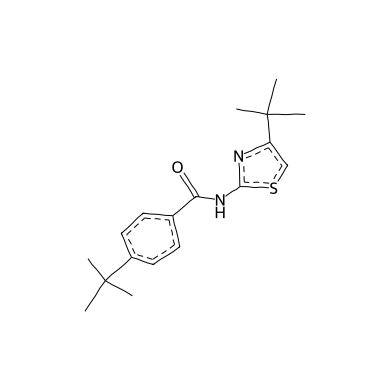 CC(C)(C)c1ccc(C(=O)Nc2nc(C(C)(C)C)cs2)cc1